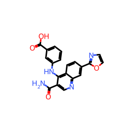 NC(=O)c1cnc2cc(-c3ncco3)ccc2c1Nc1cccc(C(=O)O)c1